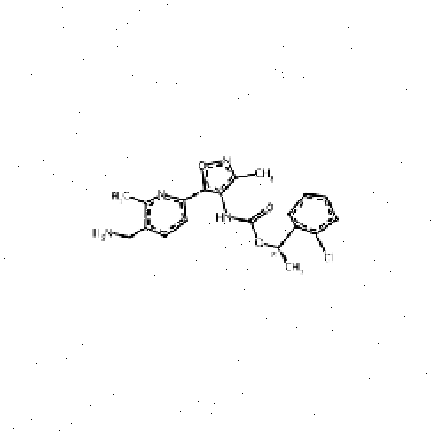 Cc1nc(-c2onc(C)c2NC(=O)O[C@H](C)c2ccccc2Cl)ccc1CN